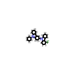 Fc1cccc2c1c1ccccc1n2-c1ccc2c(c1)c1ccccc1n2-c1ccccc1